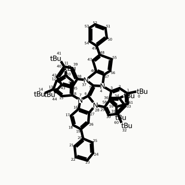 CC(C)(C)c1cc(N2/C(=C3/N(c4cc(C(C)(C)C)cc(C(C)(C)C)c4)c4ccc(-c5ccccc5)cc4N3c3cc(C(C)(C)C)cc(C(C)(C)C)c3)N(c3cc(C(C)(C)C)cc(C(C)(C)C)c3)c3cc(-c4ccccc4)ccc32)cc(C(C)(C)C)c1